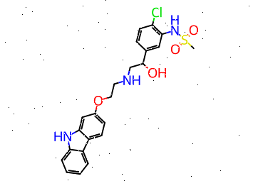 CS(=O)(=O)Nc1cc(C(O)CNCCOc2ccc3c(c2)[nH]c2ccccc23)ccc1Cl